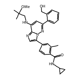 COC(C)(C)CNc1cc(-c2ccccc2CO)nn2c(-c3ccc(C(=O)NC4CC4)c(C)c3)cnc12